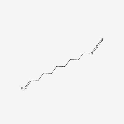 C=CCCCCCCCCN=C=S